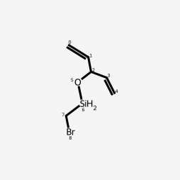 C=CC(C=C)O[SiH2]CBr